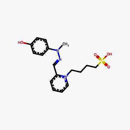 CN(N=Cc1cccc[n+]1CCCCS(=O)(=O)O)c1ccc(O)cc1